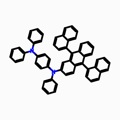 c1ccc(N(c2ccccc2)c2ccc(N(c3ccccc3)c3ccc4c(-c5cccc6ccccc56)c5ccccc5c(-c5cccc6ccccc56)c4c3)cc2)cc1